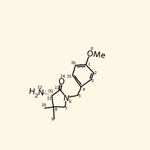 COc1ccc(CN2CC(C)(C)[C@H](N)C2=O)cc1